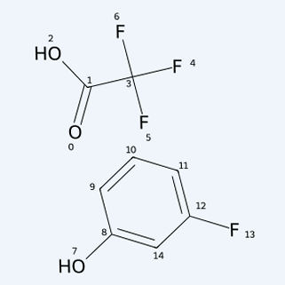 O=C(O)C(F)(F)F.Oc1cccc(F)c1